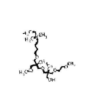 CC[N+](C)(C)CCCCOCC(C)(COC)COCC(C)(CO)COCCOC